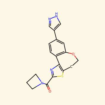 O=C(c1nc2c(s1)CCOc1cc(-c3cn[nH]c3)ccc1-2)N1CCC1